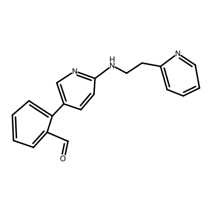 O=Cc1ccccc1-c1ccc(NCCc2ccccn2)nc1